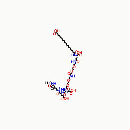 CN[C@@H](CCCCNC(=O)[C@H](CCC(=O)O)NC(=O)[C@H](CCC(=O)O)NC(=O)COCCOCCNC(=O)COCCOCCNC(=O)CC[C@H](NC(=O)CCCCCCCCCCCCCCCCC(=O)O)C(=O)O)C(C)=O